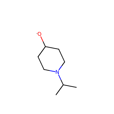 CC(C)N1CCC([O])CC1